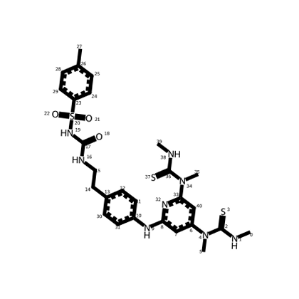 CNC(=S)N(C)c1cc(Nc2ccc(CCNC(=O)NS(=O)(=O)c3ccc(C)cc3)cc2)nc(N(C)C(=S)NC)c1